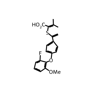 C=C(SC(C(=O)O)=C(C)C)c1ccc(Oc2c(F)cccc2OC)cc1